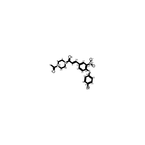 CC(=O)N1CCN(C(=O)/C=C/c2ccc(Sc3ccc(Br)cc3)c([N+](=O)[O-])c2)CC1